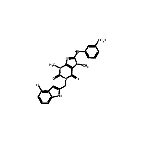 Cn1c(Nc2cccc(C(=O)O)c2)nc2c1c(=O)n(Cc1cc3c(Cl)cccc3[nH]1)c(=O)n2C